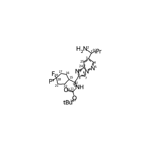 CC(C)C(N)c1cnn2cc([C@@H](NC(=O)OC(C)(C)C)C3CCC(F)(F)CC3)nc2c1